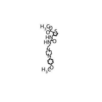 COC(=O)c1sccc1NC(=O)NCCN1CCN(c2ccc(OC)cc2)CC1